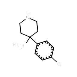 O=C(O)C1(c2ccc(Cl)cc2)CCNCC1